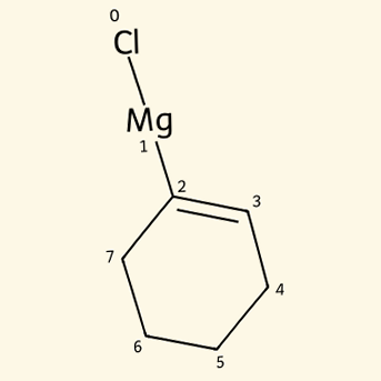 [Cl][Mg][C]1=CCCCC1